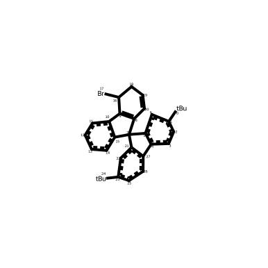 CC(C)(C)c1ccc2c(c1)C1(C3=C(c4ccccc41)C(Br)CC=C3)c1cc(C(C)(C)C)ccc1-2